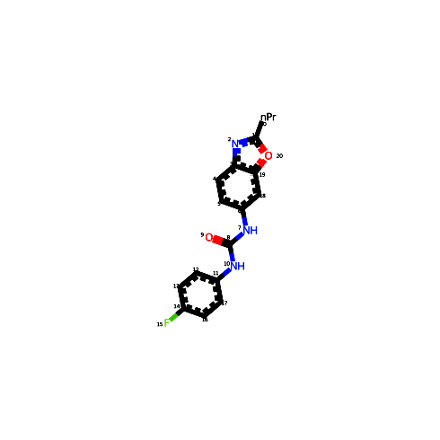 CCCc1nc2ccc(NC(=O)Nc3ccc(F)cc3)cc2o1